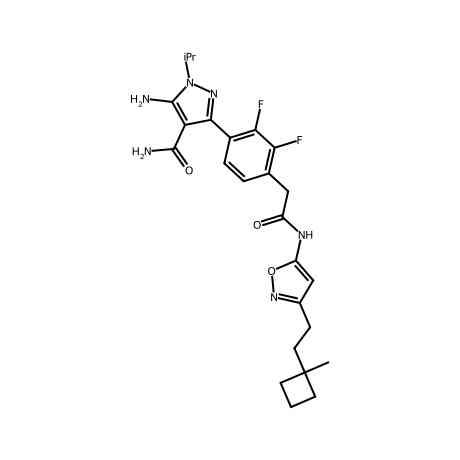 CC(C)n1nc(-c2ccc(CC(=O)Nc3cc(CCC4(C)CCC4)no3)c(F)c2F)c(C(N)=O)c1N